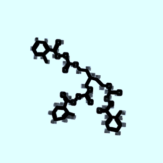 Cc1ccccc1C(=O)OOC(=O)OCCC(CCOC(=O)OOC(=O)c1ccccc1C)COC(=O)OOC(=O)c1ccccc1C